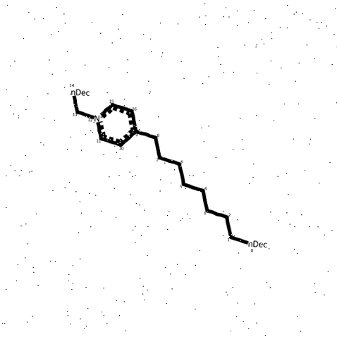 CCCCCCCCCCCCCCCCCCc1cc[n+](CCCCCCCCCCC)cc1